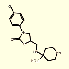 O=C1OC(CNC2(C(=O)O)CCNCC2)CN1c1ccc(Cl)cc1